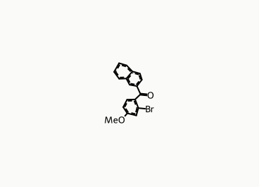 COc1ccc(C(=O)c2ccc3ccccc3c2)c(Br)c1